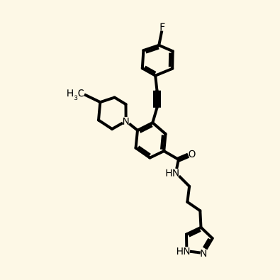 CC1CCN(c2ccc(C(=O)NCCCc3cn[nH]c3)cc2C#Cc2ccc(F)cc2)CC1